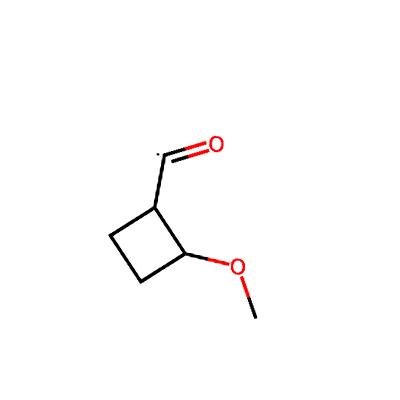 COC1CCC1[C]=O